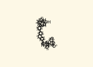 COC(=O)N[C@H](C(=O)N1CCC[C@H]1c1ncc(-c2ccc3c(c2)CCc2cc(-c4ccc5nc([C@H]6N(C(=O)O)[C@@H]7CCC6(C(C)(C)C)C7)[nH]c5c4)ccc2-3)[nH]1)C1CCOCC1